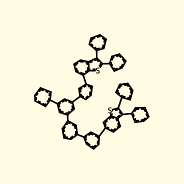 c1ccc(-c2cc(-c3cccc(-c4cccc(-c5ccc6c(-c7ccccc7)c(-c7ccccc7)sc6c5)c4)c3)cc(-c3cccc(-c4cccc5c(-c6ccccc6)c(-c6ccccc6)sc45)c3)c2)cc1